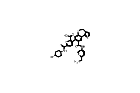 NCc1ccc(NC(=O)c2cc3c(cc2-c2ccc(C(=O)N[C@H]4CC[C@H](O)CC4)nc2C(=O)O)OCCc2ccsc2-3)cc1